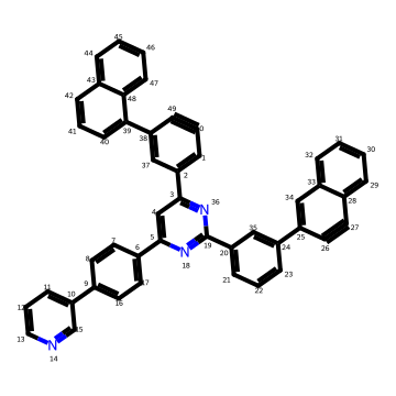 c1cc(-c2cc(-c3ccc(-c4cccnc4)cc3)nc(-c3cccc(-c4c#cc5ccccc5c4)c3)n2)cc(-c2cccc3ccccc23)c#1